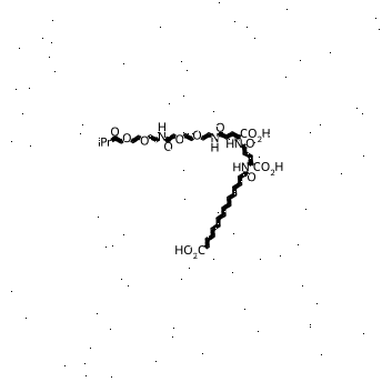 CC(C)C(=O)COCCOCCNC(=O)COCCOCCNC(=O)CC[C@H](NC(=O)CC[C@H](NC(=O)CCCCCCCCCCCCCCC(=O)O)C(=O)O)C(=O)O